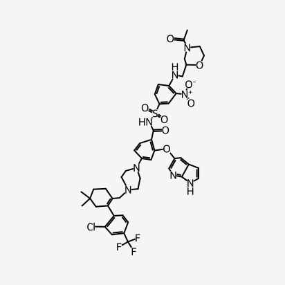 CC(=O)N1CCOC(CNc2ccc(S(=O)(=O)NC(=O)c3ccc(N4CCN(CC5=C(c6ccc(C(F)(F)F)cc6Cl)CC(C)(C)CC5)CC4)cc3Oc3cnc4[nH]ccc4c3)cc2[N+](=O)[O-])C1